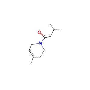 CC1=CCN(C(=O)CC(C)C)CC1